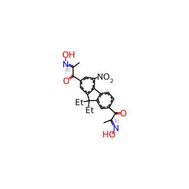 CCC1(CC)c2cc(C(=O)/C(C)=N/O)ccc2-c2c([N+](=O)[O-])cc(C(=O)/C(C)=N/O)cc21